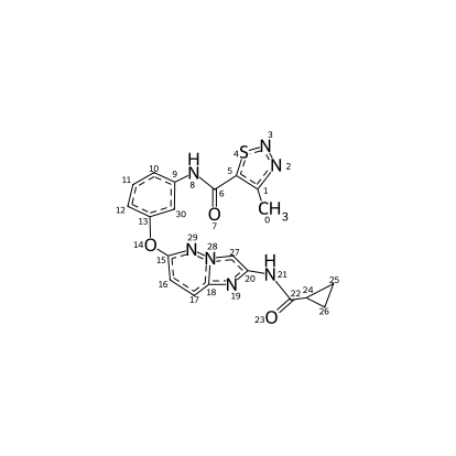 Cc1nnsc1C(=O)Nc1cccc(Oc2ccc3nc(NC(=O)C4CC4)cn3n2)c1